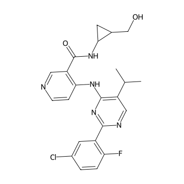 CC(C)c1cnc(-c2cc(Cl)ccc2F)nc1Nc1ccncc1C(=O)NC1CC1CO